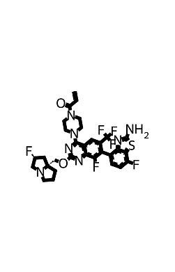 C=CC(=O)N1CCN(c2nc(OC[C@]34CCCN3C[C@H](F)C4)nc3c(F)c(-c4ccc(F)c5sc(N)nc45)c(C(F)(F)F)cc23)CC1